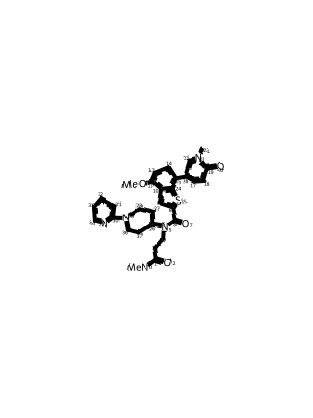 CNC(=O)CCN(C(=O)c1cc2c(OC)ccc(-c3ccc(=O)n(C)c3)c2s1)C1CCN(c2ccccn2)CC1